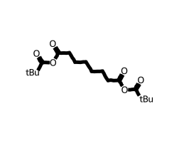 CC(C)(C)C(=O)OC(=O)CCCCCCC(=O)OC(=O)C(C)(C)C